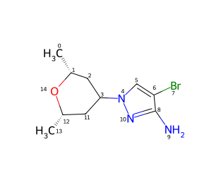 C[C@@H]1CC(n2cc(Br)c(N)n2)C[C@H](C)O1